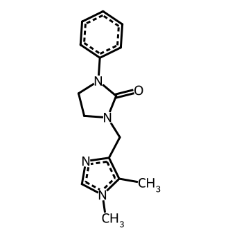 Cc1c(CN2CCN(c3ccccc3)C2=O)ncn1C